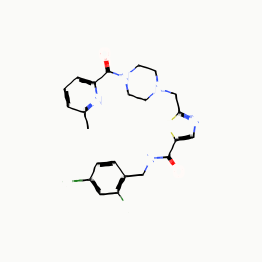 Cc1cccc(C(=O)N2CCN(Cc3ncc(C(=O)NCc4ccc(Cl)cc4Cl)s3)CC2)n1